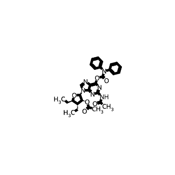 CC[C@H]1[C@@H](OC(C)=O)[C@H](n2cnc3c(OC(=O)N(c4ccccc4)c4ccccc4)nc(NC(C)=O)nc32)O[C@@H]1CC